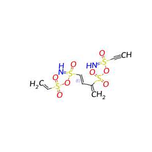 C#CS(=N)(=O)OS(=O)(=O)C(=C)/C=C/S(=N)(=O)OS(=O)(=O)C=C